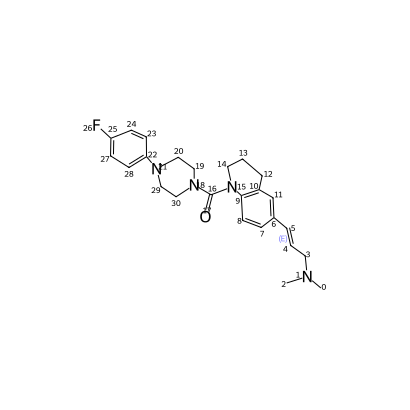 CN(C)C/C=C/c1ccc2c(c1)CCCN2C(=O)N1CCN(c2ccc(F)cc2)CC1